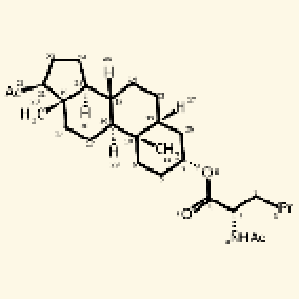 CC(=O)N[C@@H](CC(C)C)C(=O)O[C@@H]1CC[C@@]2(C)[C@H](CC[C@@H]3[C@@H]2CC[C@]2(C)[C@@H](C(C)=O)CC[C@@H]32)C1